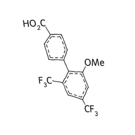 COc1cc(C(F)(F)F)cc(C(F)(F)F)c1-c1ccc(C(=O)O)cc1